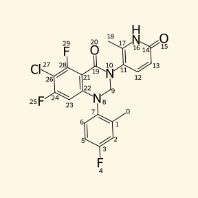 Cc1cc(F)ccc1N1CN(c2ccc(=O)[nH]c2C)C(=O)c2c1cc(F)c(Cl)c2F